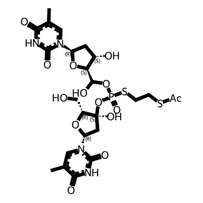 CC(=O)SCCSP(=O)(OC(O)[C@H]1O[C@@H](n2cc(C)c(=O)[nH]c2=O)C[C@@H]1O)O[C@@]1(O)C[C@H](n2cc(C)c(=O)[nH]c2=O)O[C@@H]1CO